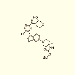 CC1(NC(=O)OC(C)(C)C)CCN(c2ccc3c(-c4nc(N[C@@H]5CCOC[C@H]5O)ncc4Cl)cnn3c2)CC1